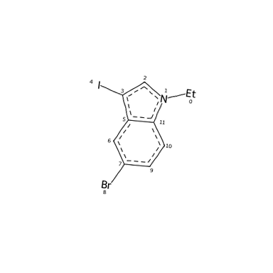 CCn1cc(I)c2cc(Br)ccc21